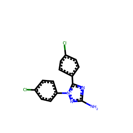 Nc1nc(-c2ccc(Cl)cc2)n(-c2ccc(Cl)cc2)n1